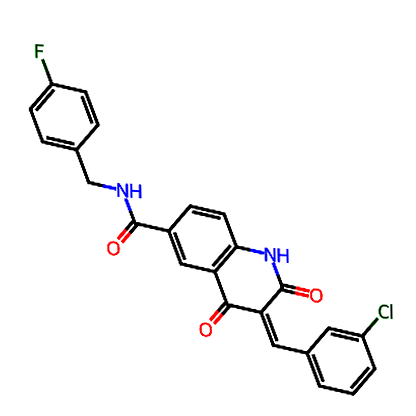 O=C1Nc2ccc(C(=O)NCc3ccc(F)cc3)cc2C(=O)/C1=C/c1cccc(Cl)c1